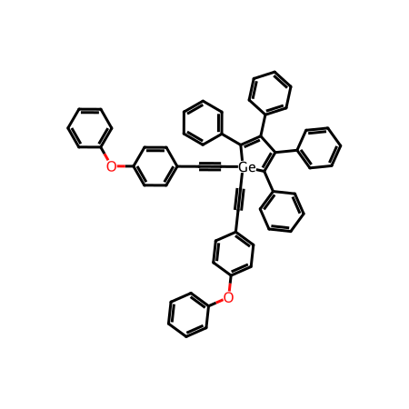 C(#[C][Ge]1([C]#Cc2ccc(Oc3ccccc3)cc2)[C](c2ccccc2)=C(c2ccccc2)C(c2ccccc2)=[C]1c1ccccc1)c1ccc(Oc2ccccc2)cc1